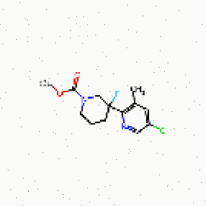 Cc1cc(Cl)cnc1C1(F)CCCN(C(=O)OC(C)(C)C)C1